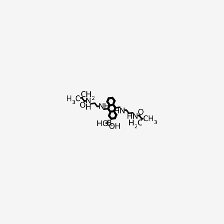 C=C(C)C(=O)NCCCNCc1c2ccccc2c(CNCCCNC(=O)C(=C)C)c2cc(B(O)O)ccc12